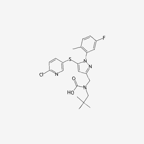 Cc1ccc(F)cc1-n1nc(CN(CC(C)(C)C)C(=O)O)cc1Sc1ccc(Cl)nc1